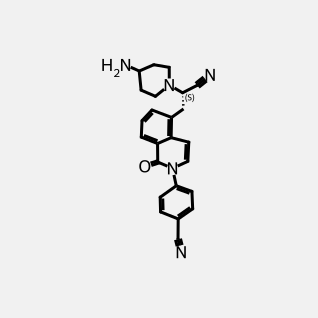 N#Cc1ccc(-n2ccc3c(C[C@@H](C#N)N4CCC(N)CC4)cccc3c2=O)cc1